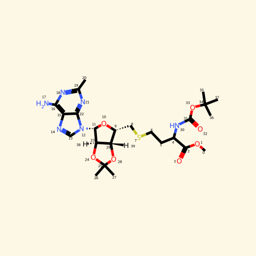 COC(=O)C(CCSC[C@H]1O[C@@H](n2cnc3c(N)nc(C)nc32)[C@@H]2OC(C)(C)O[C@H]21)NC(=O)OC(C)(C)C